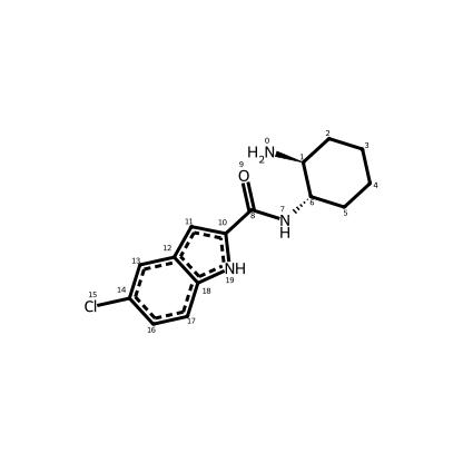 N[C@H]1CCCC[C@@H]1NC(=O)c1cc2cc(Cl)ccc2[nH]1